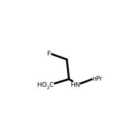 CCCNC(CF)C(=O)O